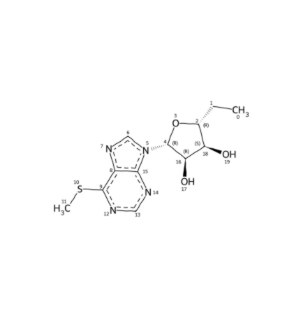 CC[C@H]1O[C@@H](n2cnc3c(SC)ncnc32)[C@H](O)[C@@H]1O